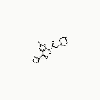 Cc1cc(C(=O)c2cccs2)c(NC(=O)CN2CCOCC2)s1